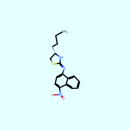 CCCC[C@H]1CSC(=Nc2ccc([N+](=O)[O-])c3ccccc23)N1